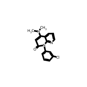 CN(C)c1cc(=O)n(-c2cccc(Cl)c2)c2ncccc12